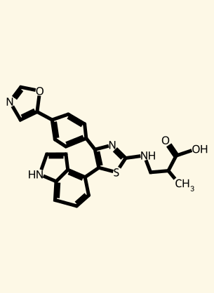 CC(CNc1nc(-c2ccc(-c3cnco3)cc2)c(-c2cccc3[nH]ccc23)s1)C(=O)O